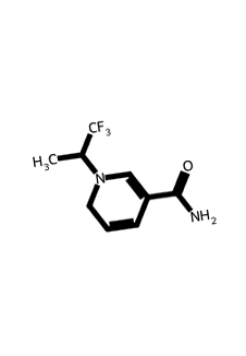 CC(N1C=C(C(N)=O)C=CC1)C(F)(F)F